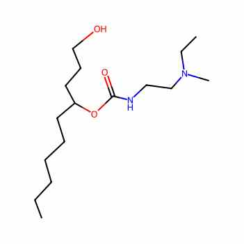 CCCCCCC(CCCO)OC(=O)NCCN(C)CC